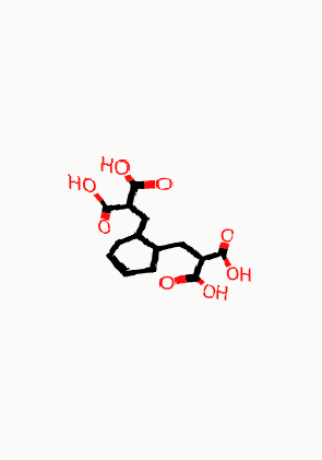 O=C(O)C(CC1CC=CCC1CC(C(=O)O)C(=O)O)C(=O)O